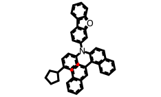 c1ccc2cc(-c3c(N(c4ccc(C5CCCC5)cc4)c4ccc5c(c4)oc4ccccc45)ccc4ccccc34)ccc2c1